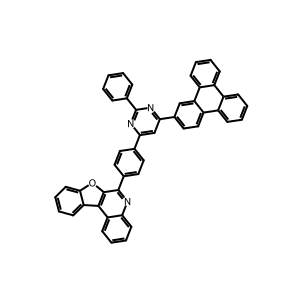 c1ccc(-c2nc(-c3ccc(-c4nc5ccccc5c5c4oc4ccccc45)cc3)cc(-c3ccc4c5ccccc5c5ccccc5c4c3)n2)cc1